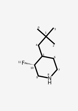 CC(C)(C)CC1CCNC[C@@H]1F